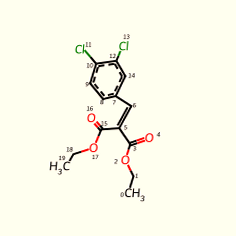 CCOC(=O)C(=Cc1ccc(Cl)c(Cl)c1)C(=O)OCC